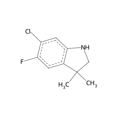 CC1(C)CNc2cc(Cl)c(F)cc21